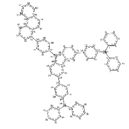 c1ccc(N(c2ccccc2)c2ccc(-c3ccc4c(c3)c3cc(-c5ccc(N(c6ccccc6)c6ccccc6)cc5)ccc3n4-c3ccc(-c4ccnc5c4ccc4cccnc45)cc3)cc2)cc1